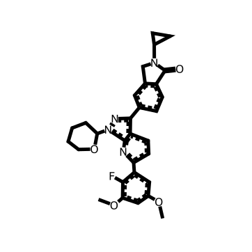 COc1cc(OC)c(F)c(-c2ccc3c(-c4ccc5c(c4)CN(C4CC4)C5=O)nn(C4CCCCO4)c3n2)c1